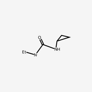 CC[N]C(=O)NC1CC1